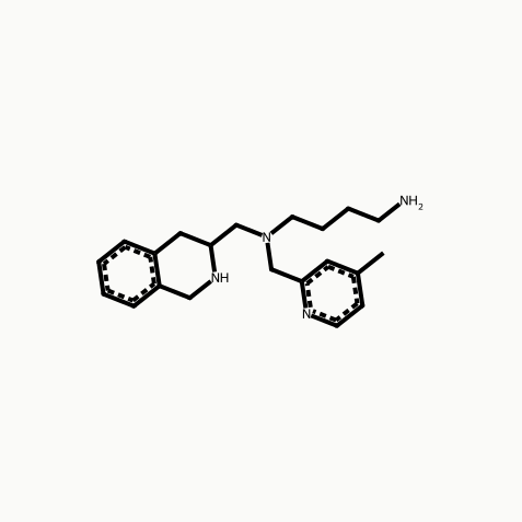 Cc1ccnc(CN(CCCCN)CC2Cc3ccccc3CN2)c1